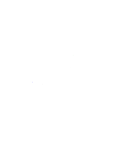 C=C(C)C(=O)O.CC(C)(N)CCc1ccccc1.Cl